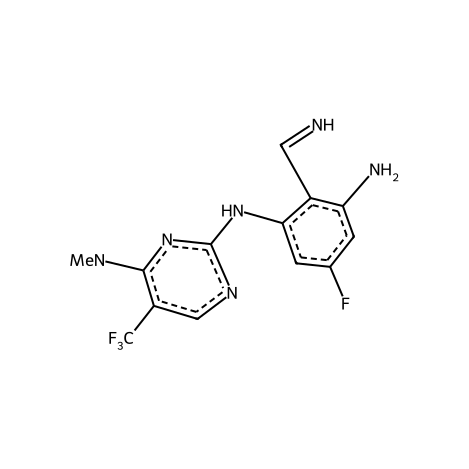 CNc1nc(Nc2cc(F)cc(N)c2C=N)ncc1C(F)(F)F